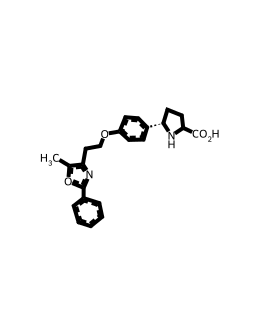 Cc1oc(-c2ccccc2)nc1CCOc1ccc([C@@H]2CCC(C(=O)O)N2)cc1